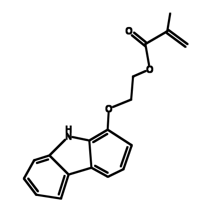 C=C(C)C(=O)OCCOc1cccc2c1[nH]c1ccccc12